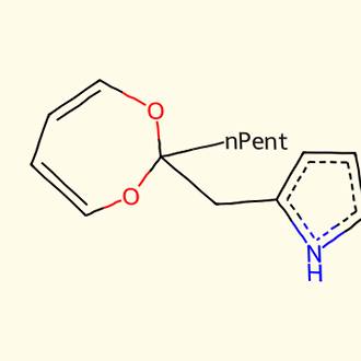 CCCCCC1(Cc2ccc[nH]2)OC=CC=CO1